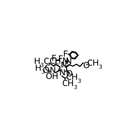 COCCCCc1c(C(=O)N(CC(C)C)[C@H]2C[C@@H](C(F)F)C(C(C)(C)C)N(C(=O)O)C2)nnn1-c1ccccc1F